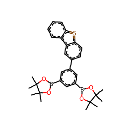 CC1(C)OB(c2cc(B3OC(C)(C)C(C)(C)O3)cc(-c3ccc4sc5ccccc5c4c3)c2)OC1(C)C